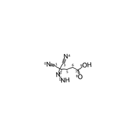 N#CC(C#N)(CCC(=O)O)N=N